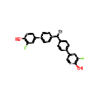 CCC(c1ccc(-c2ccc(O)c(F)c2)cc1)c1ccc(-c2ccc(O)c(F)c2)cc1